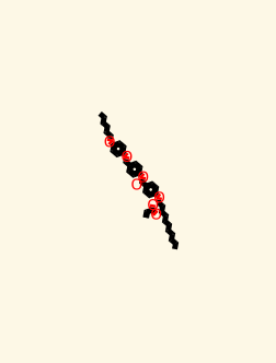 C=CC(=O)OC(CCCCCCCCCC)Oc1ccc(C(=O)Oc2ccc(COc3ccc(OCCCCCC)cc3)cc2)cc1